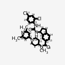 Cc1cc(N2CCC(N(C)C(=O)c3ccc4c(c3)C(NC(=O)Nc3ccc(Cl)cc3Cl)CC4)CC2)cc(C)n1